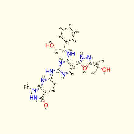 CCn1[nH]c(=O)c2ccc(Nc3ncc(-c4nnc(C(C)(C)O)o4)c(N[C@H](CO)c4ccccc4)n3)nc21